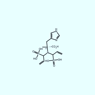 C=CC(N(C(C=C)P(=O)(O)O)[C@@](C)(Cc1c[nH]cn1)C(=O)O)P(=O)(O)O